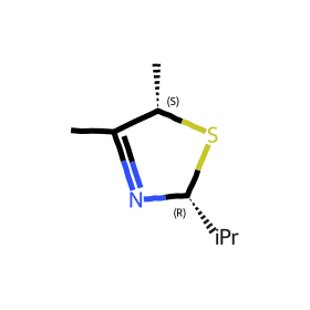 CC1=N[C@@H](C(C)C)S[C@H]1C